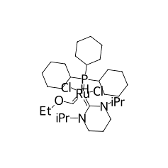 CCO[CH]=[Ru]([Cl])([Cl])(=[C]1N(C(C)C)CCCN1C(C)C)[PH](C1CCCCC1)(C1CCCCC1)C1CCCCC1